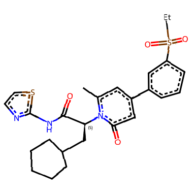 CCS(=O)(=O)c1cccc(-c2cc(C)n([C@@H](CC3CCCCC3)C(=O)Nc3nccs3)c(=O)c2)c1